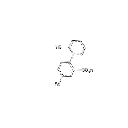 CC(=O)c1ccc(-c2ccccc2S)c(S(=O)(=O)O)c1